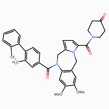 COc1cc2c(cc1OC)N(C(=O)c1ccc(-c3ccccc3C(F)(F)F)c(C)c1)Cc1ccc(C(=O)N3CCC(=O)CC3)n1C2